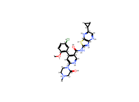 COc1ccc(Cl)cc1-c1cc(N2CCN(C)CC2=O)ncc1C(=O)Nc1nc2ncc(C3CC3)nc2s1